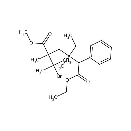 CCOC(=O)C(c1ccccc1)C(C)(CC)CC(C)(C(=O)OC)C(C)(C)Br